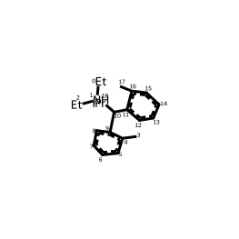 CCNCC.Cc1ccccc1C(c1ccccc1C)C(C)C